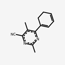 Cc1nc(C#N)c(C)c(C2=CC=CCC2)n1